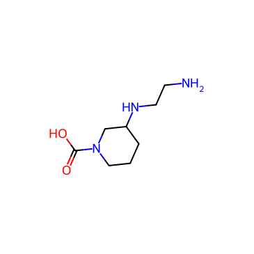 NCCNC1CCCN(C(=O)O)C1